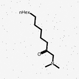 CCCCCCCCCCCC(=O)CN(C)C